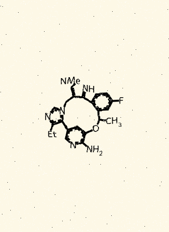 CCc1ncn2c1-c1cnc(N)c(c1)OC(C)c1cc(F)ccc1C(=N)/C(=C\NC)C2